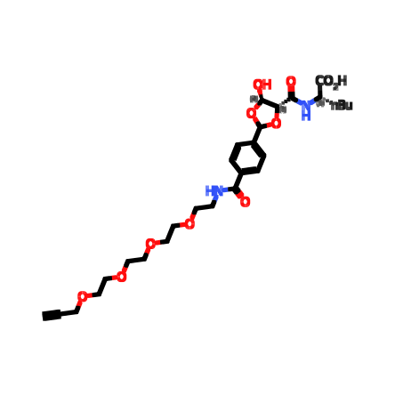 C#CCOCCOCCOCCOCCNC(=O)c1ccc(C2O[C@@H](O)[C@H](C(=O)N[C@@H](CCCC)C(=O)O)O2)cc1